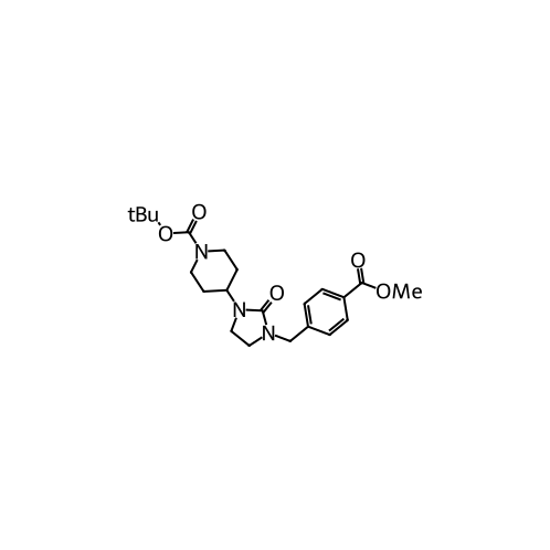 COC(=O)c1ccc(CN2CCN(C3CCN(C(=O)OC(C)(C)C)CC3)C2=O)cc1